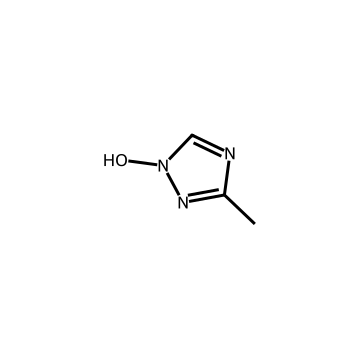 Cc1ncn(O)n1